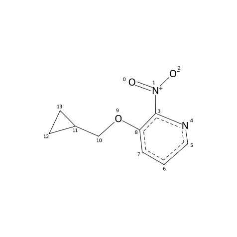 O=[N+]([O-])c1ncccc1OCC1CC1